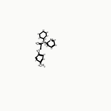 Cc1ccc(OCC(=O)N(c2ccccn2)C2CCCCC2)cc1